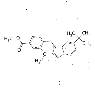 COC(=O)c1ccc(CN2C=CC3C=CC(C(C)(C)C)=CC32)c(OC)c1